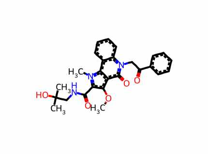 COc1c(C(=O)NCC(C)(C)O)n(C)c2c1c(=O)n(CC(=O)c1ccccc1)c1ccccc21